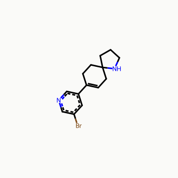 Brc1cncc(C2=CCC3(CCCN3)CC2)c1